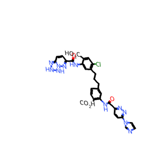 O=C(Nc1cc(CCCc2ccc(C(=O)O)c(NC(=O)c3ccc(-n4ccnc4)nn3)c2)c(Cl)cc1C(=O)O)C1=NN2NNN=C2C=C1